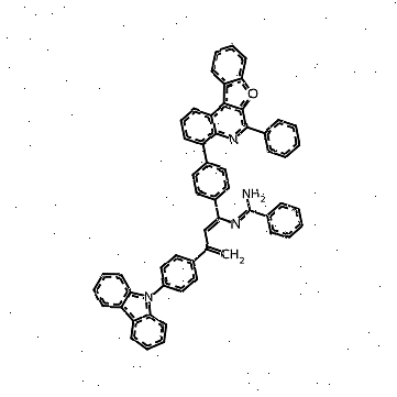 C=C(/C=C(\N=C(/N)c1ccccc1)c1ccc(-c2cccc3c2nc(-c2ccccc2)c2oc4ccccc4c23)cc1)c1ccc(-n2c3ccccc3c3ccccc32)cc1